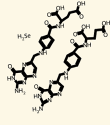 Nc1nc2ncc(CNc3ccc(C(=O)NC(CCC(=O)O)C(=O)O)cc3)nc2c(=O)[nH]1.Nc1nc2ncc(CNc3ccc(C(=O)NC(CCC(=O)O)C(=O)O)cc3)nc2c(=O)[nH]1.[SeH2]